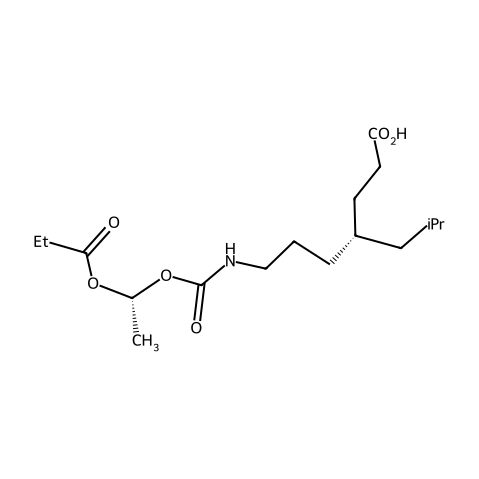 CCC(=O)O[C@@H](C)OC(=O)NCCC[C@H](CCC(=O)O)CC(C)C